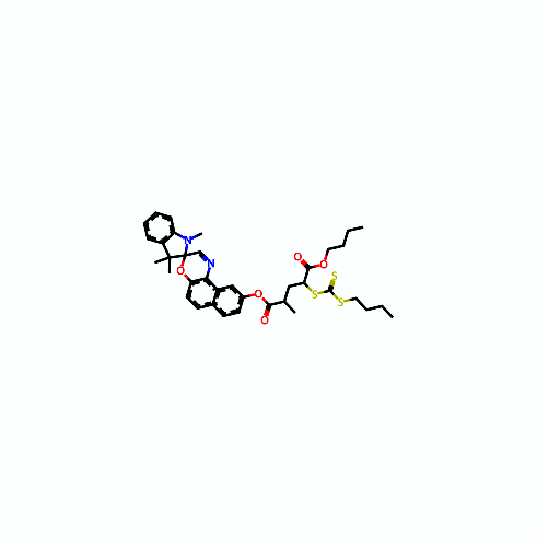 CCCCOC(=O)C(CC(C)C(=O)Oc1ccc2ccc3c(c2c1)N=CC1(O3)N(C)c2ccccc2C1(C)C)SC(=S)SCCCC